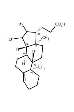 CCC1C(CC)[C@H]2[C@@H]3CCC4=CCCC[C@]4(C)[C@H]3CC[C@]2(C)[C@H]1CCC(=O)O